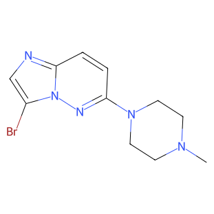 CN1CCN(c2ccc3ncc(Br)n3n2)CC1